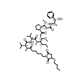 CCCCSC1CC(=O)N(CCCCCC(=O)N(C)[C@H](C(=O)N[C@H](C(=O)N(C)C([C@@H](C)CC)[C@@H](CC(=O)N2CCC[C@H]2[C@H](OC)[C@@H](C)C(=O)N[C@H](C)[C@@H](O)c2ccccc2)OC)C(C)C)C(C)C)C1=O